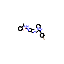 CC(NC(=O)N1CC2CN(Cc3c(-c4ccc(Br)cc4)nc4ccccn34)CC2C1)c1ccccc1